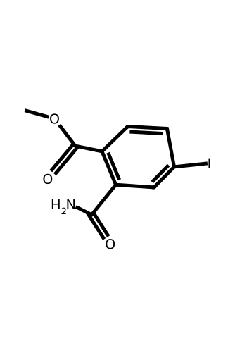 COC(=O)c1ccc(I)cc1C(N)=O